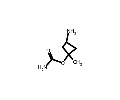 CC1(OC(N)=O)CC(N)C1